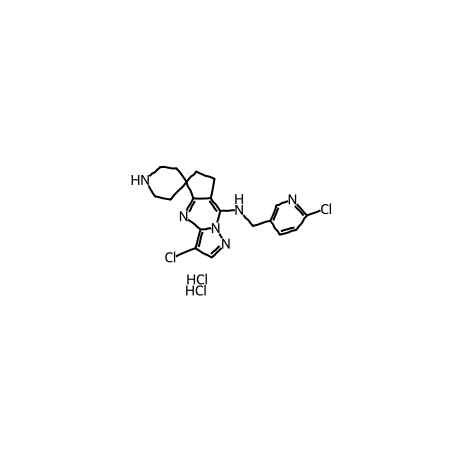 Cl.Cl.Clc1ccc(CNc2c3c(nc4c(Cl)cnn24)C2(CCNCC2)CC3)cn1